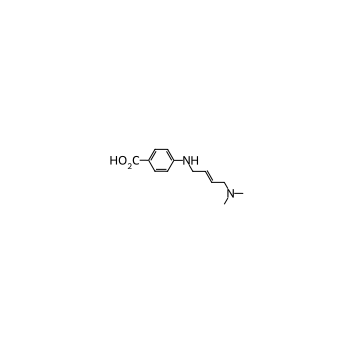 CN(C)C/C=C/CNc1ccc(C(=O)O)cc1